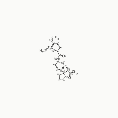 COc1ccc(C(=O)Nc2ccc(C3(C(N)C(C)=O)CCCC3)cc2)cc1OC